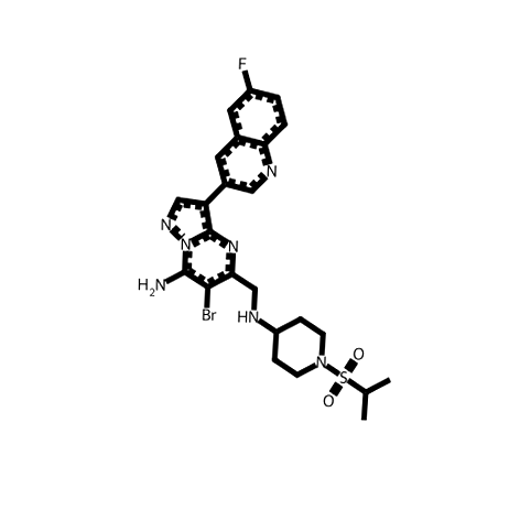 CC(C)S(=O)(=O)N1CCC(NCc2nc3c(-c4cnc5ccc(F)cc5c4)cnn3c(N)c2Br)CC1